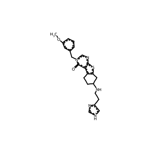 COc1cccc(Cn2cnc3sc4c(c3c2=O)CCC(NCCc2c[nH]cn2)C4)c1